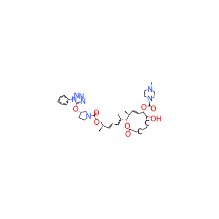 C/C(=C\C=C\[C@@H](C)COC(=O)N1CC[C@H](Oc2nnnn2-c2ccccc2)C1)[C@H]1OC(=O)CCCC[C@](C)(O)[C@@H](OC(=O)N2CCN(C)CC2)/C=C/[C@@H]1C